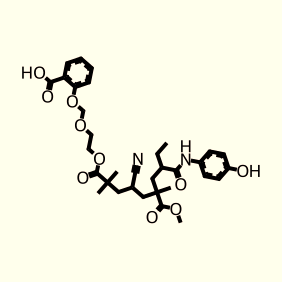 CCC(CC(C)(CC(C#N)CC(C)(C)C(=O)OCCOCOc1ccccc1C(=O)O)C(=O)OC)C(=O)Nc1ccc(O)cc1